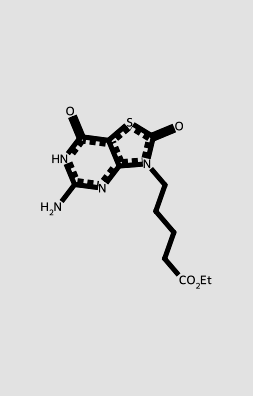 CCOC(=O)CCCCn1c(=O)sc2c(=O)[nH]c(N)nc21